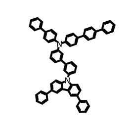 c1ccc(-c2ccc(-c3ccc(N(c4ccc(-c5ccccc5)cc4)c4cccc(-c5cccc(-n6c7ccc(-c8ccccc8)cc7c7cc(-c8ccccc8)ccc76)c5)c4)cc3)cc2)cc1